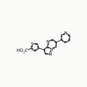 O=C(O)c1cc(-c2cnn3cc(-c4cccnc4)cnc23)cs1